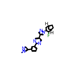 Cn1cc(-c2cccc(-c3ncc(-c4cnn([C@@H]5C[C@H]6CC[C@@H](C6)[C@H]5F)c4)cn3)c2)cn1